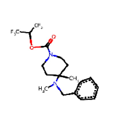 CN(Cc1ccccc1)C1(C)CCN(C(=O)OC(C(F)(F)F)C(F)(F)F)CC1